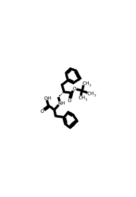 CC(C)(C)OC(=O)[C@H](CNC(Cc1ccccc1)C(=O)O)Cc1ccccc1